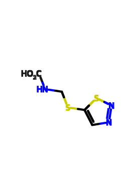 O=C(O)NCSc1cnns1